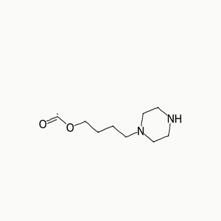 O=[C]OCCCCN1CCNCC1